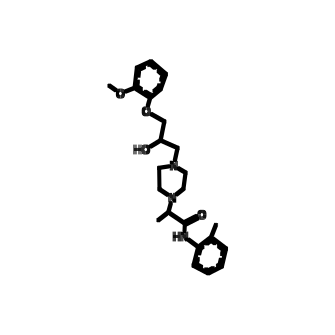 COc1ccccc1OCC(O)CN1CCN(C(C)C(=O)Nc2ccccc2C)CC1